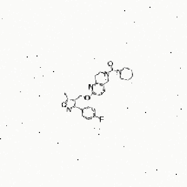 Cc1onc(-c2ccc(F)cc2)c1COc1ccc2c(n1)CCN(C(=O)N1CCCCC1)C2